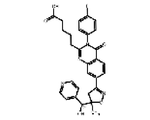 CC1([C@@H](O)c2ccncc2)CC(c2ccc3c(=O)n(-c4ccc(F)cc4)c(CCCCC(=O)O)nc3c2)=NO1